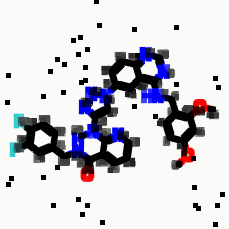 COc1ccc(CNc2ncnc3ccc(-n4cc(N(C)c5ncccc5C(=O)NCc5ccc(F)c(F)c5)nn4)cc23)c(OC)c1